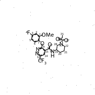 COc1cc(F)ccc1Oc1nnc(C(F)(F)F)cc1C(=O)NC1CCCN(S(C)(=O)=O)C1